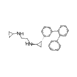 c1ccc(-c2ccccc2-c2cccc([C@@H]3C[C@H]3NCCNC3CC3)c2)cc1